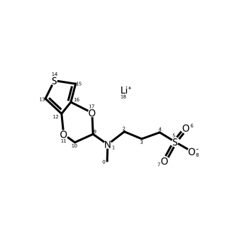 CN(CCCS(=O)(=O)[O-])C1COc2cscc2O1.[Li+]